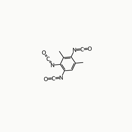 Cc1cc(N=C=O)c(N=C=O)c(C)c1N=C=O